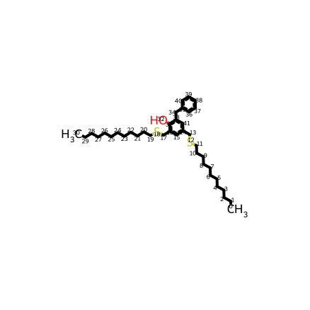 CCCCCCCCCCCCSCc1cc(CSCCCCCCCCCCCC)c(O)c(Cc2ccccc2)c1